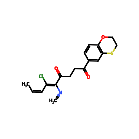 C=N/C(C(=O)CCC(=O)c1ccc2c(c1)SCCO2)=C(Cl)\C=C/C